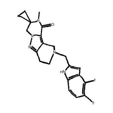 CN1C(=O)c2c3c(nn2CC12CC2)CCN(Cc1cc2c(F)c(F)ccc2[nH]1)C3